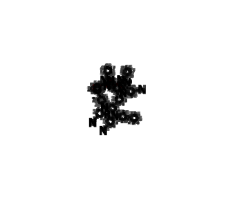 N#Cc1ccc2c(c1)B1c3cc(C#N)ccc3N(c3ccc(-c4ccccc4)cc3)c3cc(-c4ccc5c(c4)c4cc(-c6nc(-c7ccccc7)nc(-c7ccccc7)n6)ccc4n5-c4ccc(C#N)cc4-c4nc(-c5ccccc5)nc(-c5ccccc5)n4)cc(c31)N2c1ccc(-c2ccccc2)cc1